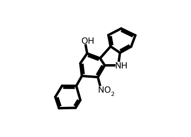 O=[N+]([O-])c1c(-c2ccccc2)cc(O)c2c1[nH]c1ccccc12